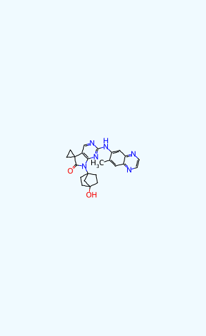 Cc1cc2nccnc2cc1Nc1ncc2c(n1)N(C13CCC(O)(CC1)C3)C(=O)C21CC1